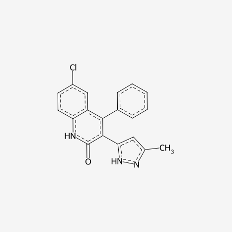 Cc1cc(-c2c(-c3ccccc3)c3cc(Cl)ccc3[nH]c2=O)[nH]n1